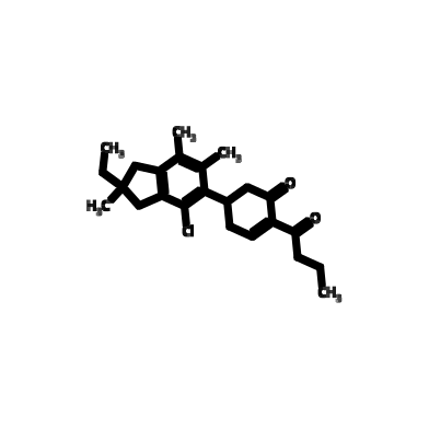 CCCC(=O)C1=CCC(c2c(C)c(C)c3c(c2Cl)CC(C)(CC)C3)CC1=O